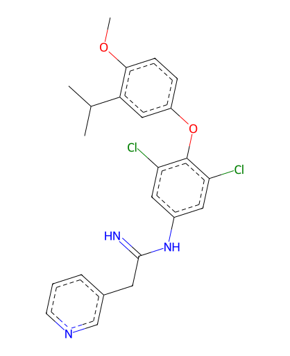 COc1ccc(Oc2c(Cl)cc(NC(=N)Cc3cccnc3)cc2Cl)cc1C(C)C